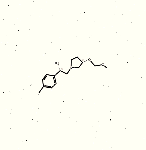 COCO[C@H]1CCN(C[C@@H](O)c2ccc(C)cc2)C1